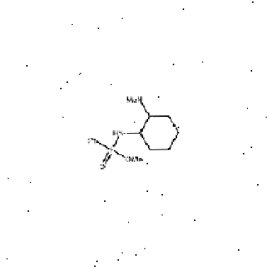 CNC1CCCCC1NP(=O)(OC)C(C)C